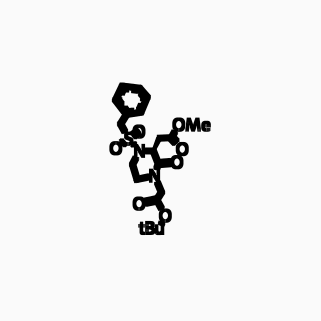 COC(=O)C[C@H]1C(=O)N(CC(=O)OC(C)(C)C)CCN1S(=O)(=O)Cc1ccccc1